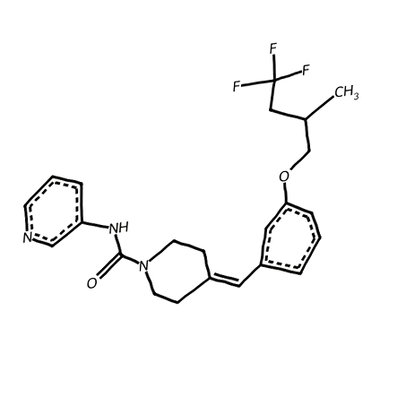 CC(COc1cccc(C=C2CCN(C(=O)Nc3cccnc3)CC2)c1)CC(F)(F)F